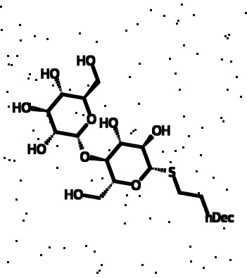 CCCCCCCCCCCCS[C@@H]1O[C@H](CO)[C@@H](O[C@H]2O[C@H](CO)[C@@H](O)[C@H](O)[C@H]2O)[C@H](O)[C@H]1O